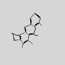 O=C(O)c1c2c(c3cc4cccc(C(=O)O)c4c(C(=O)O)c3c1C(=O)O)CC2